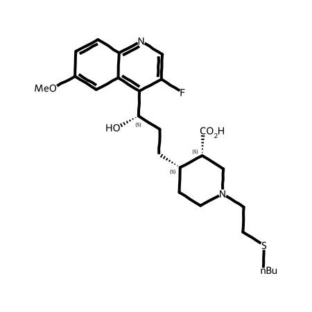 CCCCSCCN1CC[C@H](CC[C@H](O)c2c(F)cnc3ccc(OC)cc23)[C@H](C(=O)O)C1